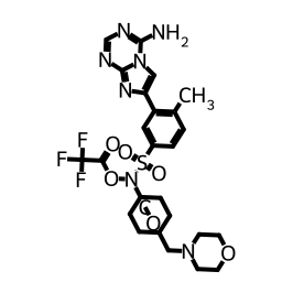 Cc1ccc(S(=O)(=O)N(OC(=O)C(F)(F)F)C23CCC(CN4CCOCC4)(CC2)OC3)cc1-c1cn2c(N)ncnc2n1